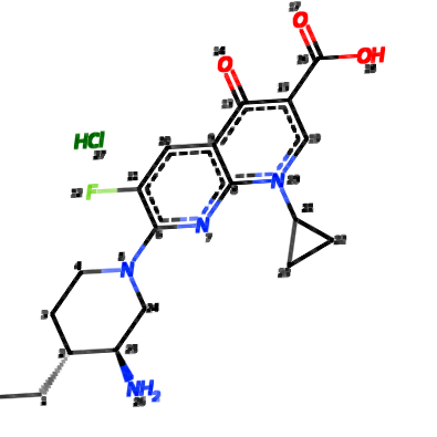 CC[C@@H]1CCN(c2nc3c(cc2F)c(=O)c(C(=O)O)cn3C2CC2)C[C@H]1N.Cl